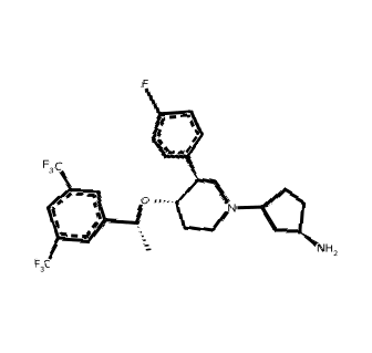 C[C@@H](O[C@H]1CCN(C2CC[C@@H](N)C2)C[C@@H]1c1ccc(F)cc1)c1cc(C(F)(F)F)cc(C(F)(F)F)c1